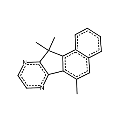 Cc1cc2ccccc2c2c1-c1nccnc1C2(C)C